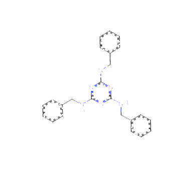 c1ccc(CNc2nc(NCc3ccccc3)nc(NCc3ccccc3)n2)cc1